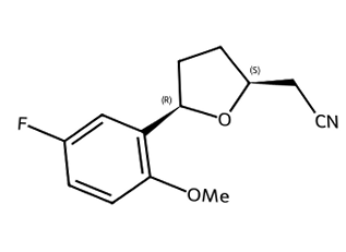 COc1ccc(F)cc1[C@H]1CC[C@@H](CC#N)O1